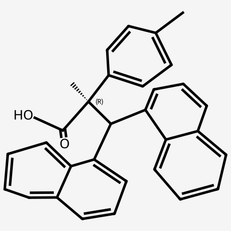 Cc1ccc([C@](C)(C(=O)O)C(c2cccc3ccccc23)c2cccc3ccccc23)cc1